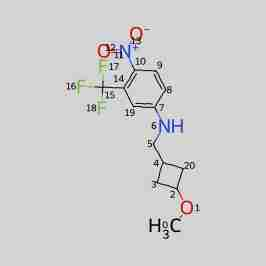 COC1CC(CNc2ccc([N+](=O)[O-])c(C(F)(F)F)c2)C1